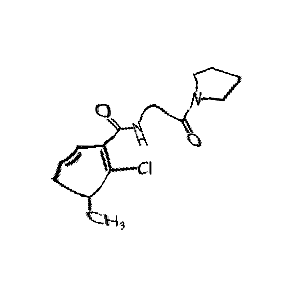 CC1CC=CC(C(=O)NCC(=O)N2CCCC2)=C1Cl